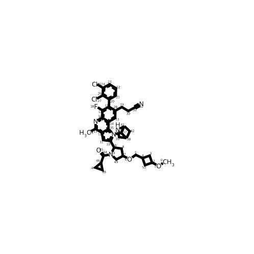 COC1CC(COC2CC(c3cc4c(C)nc5c(F)c(-c6cccc(Cl)c6Cl)c(CCC#N)cc5c4n3C3C4CNC3C4)N(C(=O)C3CC3)C2)C1